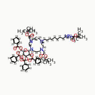 CC(C)(C)OC(=O)CN1CCCN([C@H]2O[C@@H](COC(=O)c3ccccc3)[C@H](OC(=O)c3ccccc3)[C@@H](OC(=O)c3ccccc3)[C@@H]2OC(=O)c2ccccc2)CCN(CC(=O)OC(C)(C)C)CCCN(CCCCCCCCCCNC(=O)OC(C)(C)C)CC1